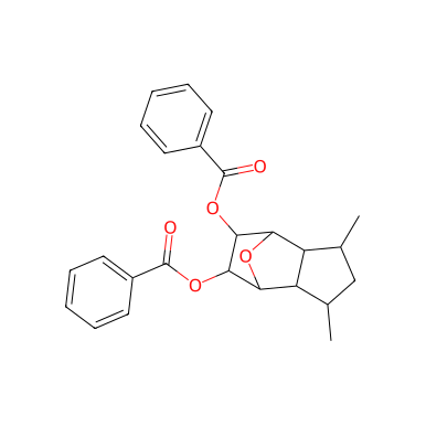 CC1CC(C)C2C3OC(C(OC(=O)c4ccccc4)C3OC(=O)c3ccccc3)C12